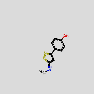 C/N=c1/cc(-c2ccc(O)cc2)ss1